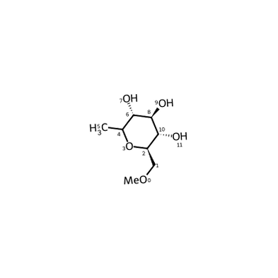 COC[C@H]1OC(C)[C@H](O)[C@@H](O)[C@@H]1O